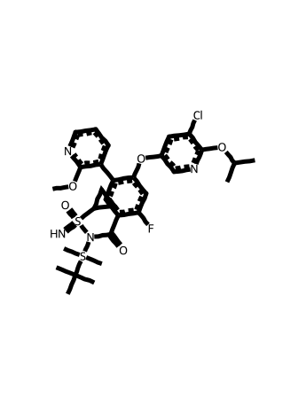 COc1ncccc1-c1cc(C(=O)N(S(C)(C)C(C)(C)C)S(=N)(=O)C2CC2)c(F)cc1Oc1cnc(OC(C)C)c(Cl)c1